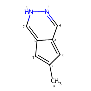 Cc1cc2cn[nH]cc-2c1